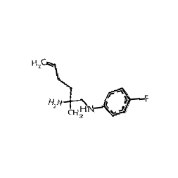 C=CCCC(C)(N)CNc1ccc(F)cc1